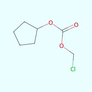 O=C(OCCl)OC1CCCC1